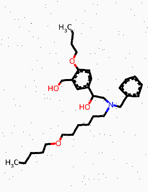 CCCCCOCCCCCCN(Cc1ccccc1)CC(O)c1ccc(OCCCC)c(CO)c1